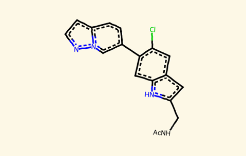 CC(=O)NCc1cc2cc(Cl)c(-c3ccc4ccnn4c3)cc2[nH]1